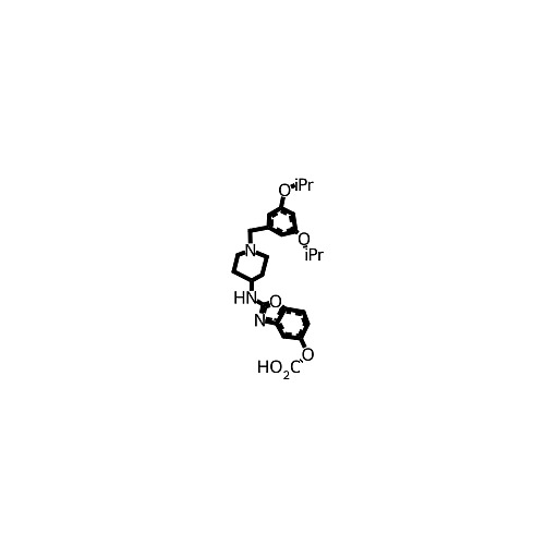 CC(C)Oc1cc(CN2CCC(Nc3nc4cc(OC(=O)O)ccc4o3)CC2)cc(OC(C)C)c1